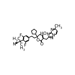 Cc1ccn2nc(CC3=C(O)CC(CCc4cc(F)c(C(C)(C)C#N)c(F)c4)(C4CCCC4)OC3=O)nc2n1